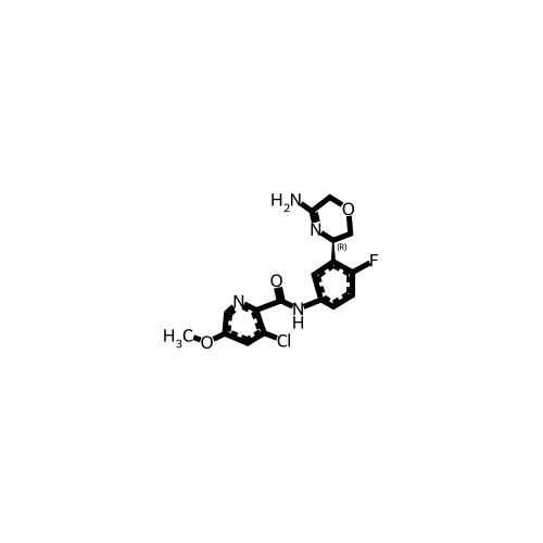 COc1cnc(C(=O)Nc2ccc(F)c([C@@H]3COCC(N)=N3)c2)c(Cl)c1